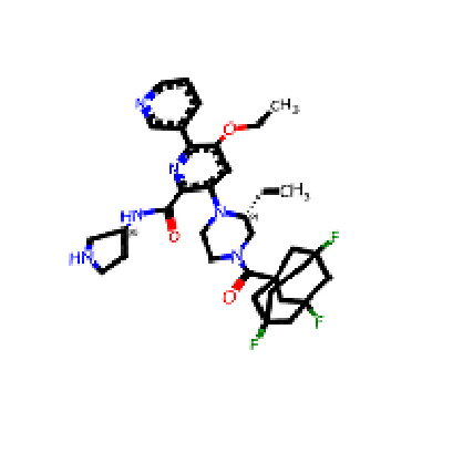 CCOc1cc(N2CCN(C(=O)C34CC5(F)CC(F)(CC(F)(C5)C3)C4)C[C@H]2CC)c(C(=O)N[C@@H]2CCNC2)nc1-c1cccnc1